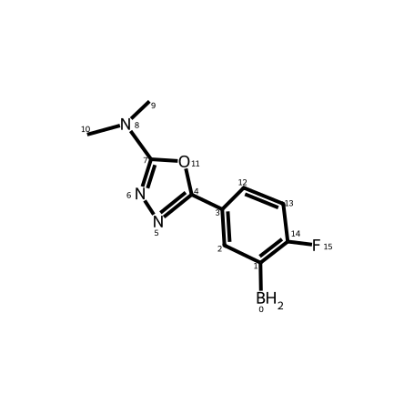 Bc1cc(-c2nnc(N(C)C)o2)ccc1F